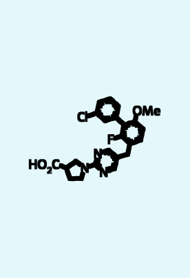 COc1ccc(Cc2cnc(N3CCC(C(=O)O)C3)nc2)c(F)c1-c1cccc(Cl)c1